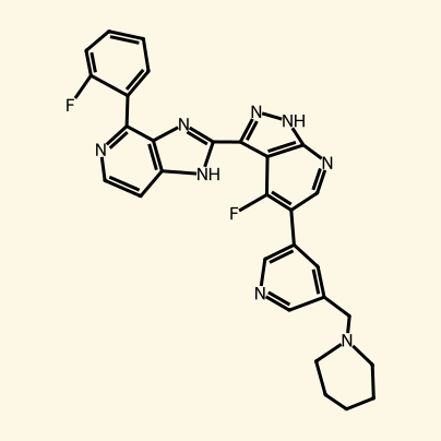 Fc1ccccc1-c1nccc2[nH]c(-c3n[nH]c4ncc(-c5cncc(CN6CCCCC6)c5)c(F)c34)nc12